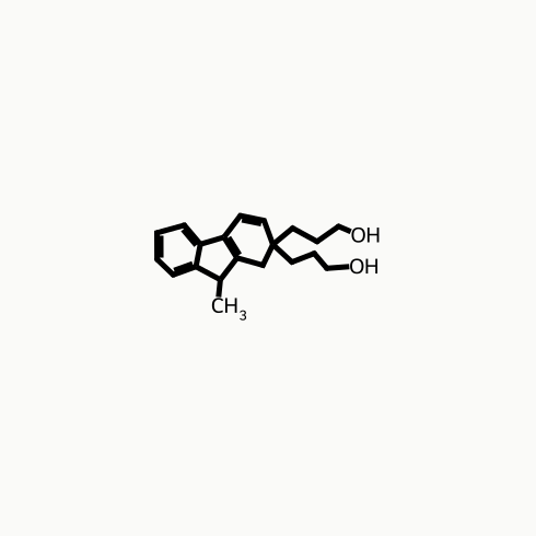 CC1C2=C(C=CC(CCCO)(CCCO)C2)c2ccccc21